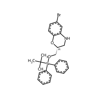 CC(C)(C)[Si](OC[C@H]1CNc2cc(Br)ccc2O1)(c1ccccc1)c1ccccc1